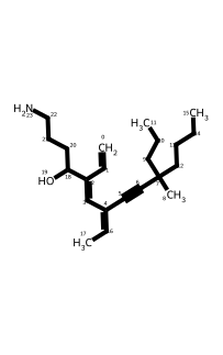 C=C/C(=C\C(C#CC(C)(CCC)CCCC)=C/C)C(O)CCCN